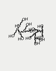 OCCCCNCCN(CCCCO)CCN(CCCCO)CCN(CCCCO)CCCCO.OCCCN(CCCO)CCN(CCCO)CCN(CCCO)CCN(CCCO)CCCO